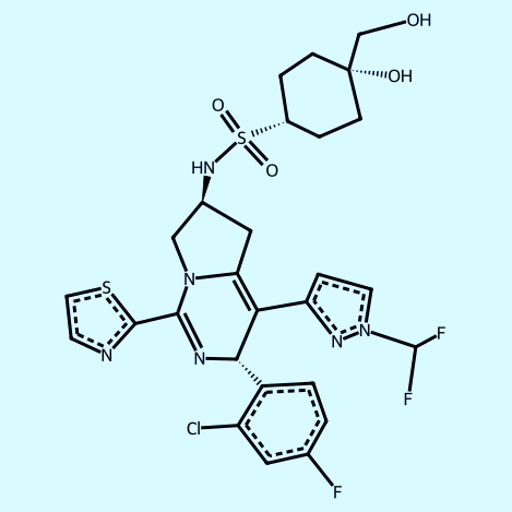 O=S(=O)(N[C@H]1CC2=C(c3ccn(C(F)F)n3)[C@H](c3ccc(F)cc3Cl)N=C(c3nccs3)N2C1)[C@H]1CC[C@](O)(CO)CC1